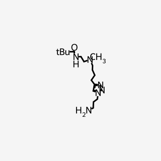 CN(CCCCc1cn(CCCN)nn1)CCNC(=O)C(C)(C)C